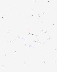 Cc1ccc2ncn(C=CC(=O)O)c(=O)c2c1